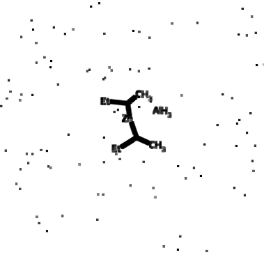 CC[CH](C)[Zn][CH](C)CC.[AlH3]